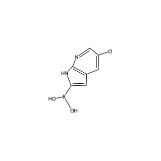 OB(O)c1cc2cc(Cl)cnc2[nH]1